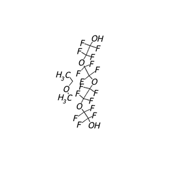 CCOC.OC(F)(F)C(F)(F)OC(F)(F)C(F)(F)OC(F)(F)C(F)(F)OC(F)(F)C(O)(F)F